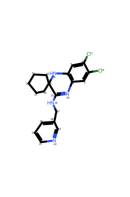 Clc1cc2c(cc1Cl)NC1(CCCCC1)C(NCc1cccnc1)=N2